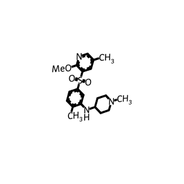 COc1ncc(C)cc1S(=O)(=O)c1ccc(C)c(NC2CCN(C)CC2)c1